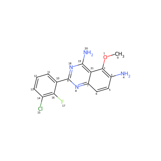 COc1c(N)ccc2nc(-c3cccc(Cl)c3F)nc(N)c12